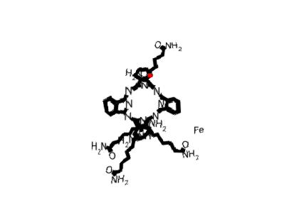 NC(=O)CCCCCC(N)NC(CCCCCC(N)=O)(C(N)CCCCCC(N)=O)n1c2nc3nc(nc4c5ccccc5c(nc5nc(nc1c1ccccc12)-c1ccccc1-5)n4C(N)CCCCCC(N)=O)-c1ccccc1-3.[Fe]